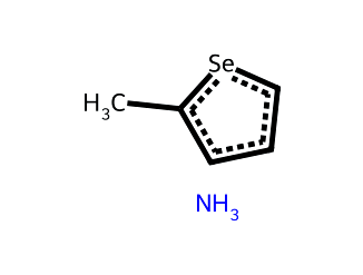 Cc1ccc[se]1.N